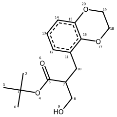 CC(C)(C)OC(=O)C(CO)Cc1cccc2c1OCCO2